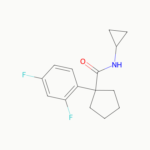 O=C(NC1CC1)C1(c2ccc(F)cc2F)CCCC1